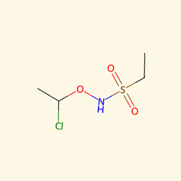 CCS(=O)(=O)NOC(C)Cl